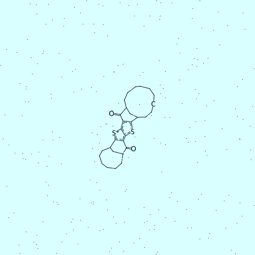 O=C1c2c(sc3c4c(sc23)C2CCCCCCC(C2)C4=O)C2CCCCCCCCCC1C2